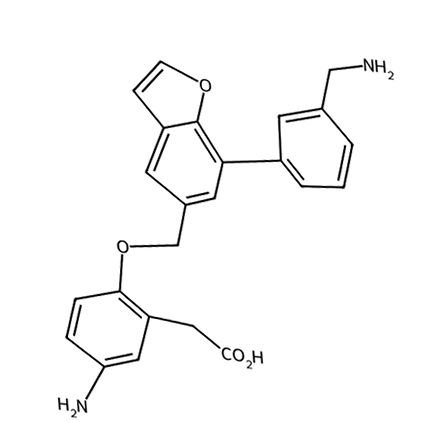 NCc1cccc(-c2cc(COc3ccc(N)cc3CC(=O)O)cc3ccoc23)c1